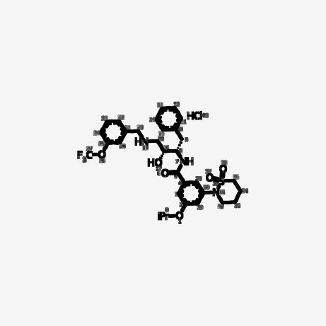 CC(C)Oc1cc(C(=O)N[C@@H](Cc2ccccc2)[C@H](O)CNCc2cccc(OC(F)(F)F)c2)cc(N2CCCCS2(=O)=O)c1.Cl